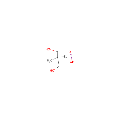 CCC(C)(CO)CO.O=PO